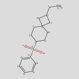 CCC1CC2(CCC(S(=O)(=O)c3ccccc3)CC2)C1